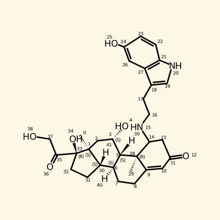 C[C@]12C[C@H](O)[C@H]3[C@@H](CCC4=CC(=O)CC(NCCc5c[nH]c6ccc(O)cc56)[C@@]43C)[C@@H]1CC[C@]2(O)C(=O)CO